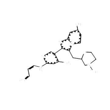 Cc1ccn2c(CC3CN(C)CCO3)c(-c3cnc(N/C=C\C=N)cc3C)nc2c1